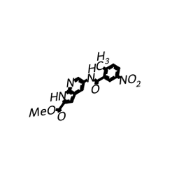 COC(=O)c1cc2cc(NC(=O)c3cc([N+](=O)[O-])ccc3C)cnc2[nH]1